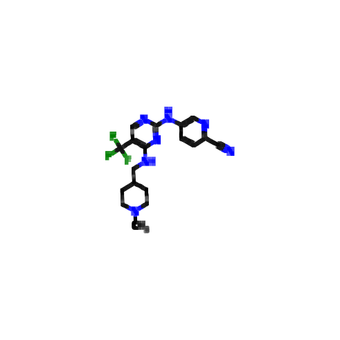 CN1CCC(CNc2nc(Nc3ccc(C#N)nc3)ncc2C(F)(F)F)CC1